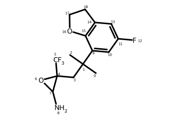 CC(C)(CC1(C(F)(F)F)OC1N)c1cc(F)cc2c1OCC2